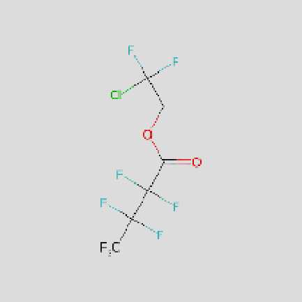 O=C(OCC(F)(F)Cl)C(F)(F)C(F)(F)C(F)(F)F